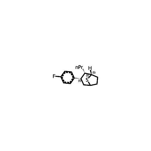 CCC[C@@H]1[C@@H]2CCC(C[C@@H]1c1ccc(F)cc1)S2